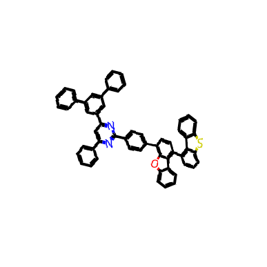 c1ccc(-c2cc(-c3ccccc3)cc(-c3cc(-c4ccccc4)nc(-c4ccc(-c5ccc(-c6cccc7sc8ccccc8c67)c6c5oc5ccccc56)cc4)n3)c2)cc1